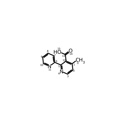 Cc1ccnc(-c2ccccn2)c1C(=O)O